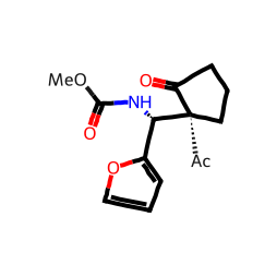 COC(=O)N[C@@H](c1ccco1)[C@]1(C(C)=O)CCCC1=O